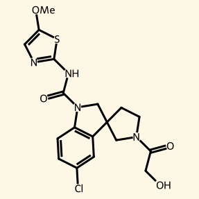 COc1cnc(NC(=O)N2CC3(CCN(C(=O)CO)C3)c3cc(Cl)ccc32)s1